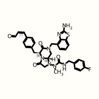 CN(C(=O)NCc1ccc(F)cc1)N1CC(=O)N2[C@@H](Cc3ccc(/C=C\C=O)cc3)C(=O)N(Cc3cccc4sc(N)nc34)C[C@@H]21